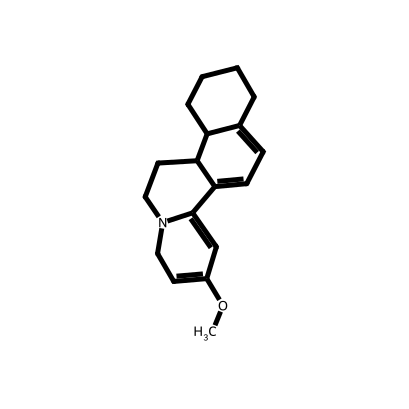 COC1=CCN2CCC3C(=CC=C4CCCCC43)C2=C1